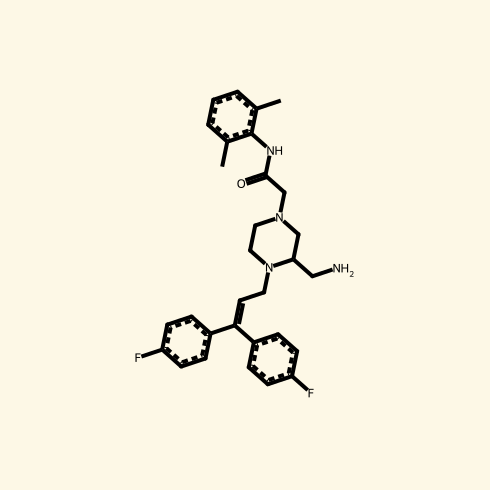 Cc1cccc(C)c1NC(=O)CN1CCN(CC=C(c2ccc(F)cc2)c2ccc(F)cc2)C(CN)C1